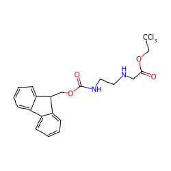 O=C(CNCCNC(=O)OCC1c2ccccc2-c2ccccc21)OCC(Cl)(Cl)Cl